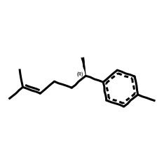 CC(C)=CCC[C@@H](C)c1ccc(C)cc1